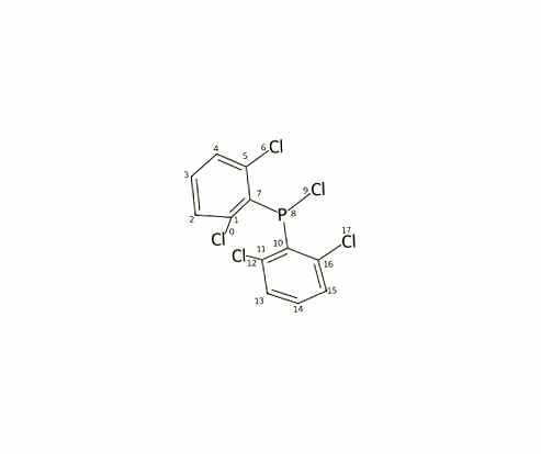 Clc1cccc(Cl)c1P(Cl)c1c(Cl)cccc1Cl